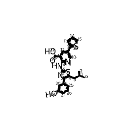 CC(C)Cc1sc(Nc2ncc(-c3cccs3)cc2C(=O)O)nc1-c1cccc(O)c1